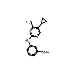 CSc1cccc(Nc2ncc(C3CC3)c(N)n2)c1